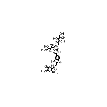 CCn1c(CNC(=O)c2nc(Cl)c(N)nc2N)[n+](CC)c2ccc(C(=O)NCCN(C[C@H](O)[C@@H](O)[C@H](O)[C@H](O)CO)C[C@H](O)[C@@H](O)[C@H](O)[C@H](O)CO)cc21